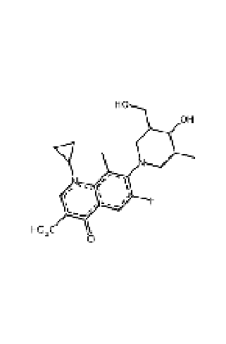 Cc1c(N2CC(C)C(O)C(CO)C2)c(F)cc2c(=O)c(C(=O)O)cn(C3CC3)c12